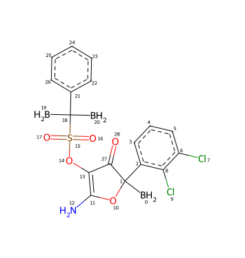 BC1(c2cccc(Cl)c2Cl)OC(N)=C(OS(=O)(=O)C(B)(B)c2ccccc2)C1=O